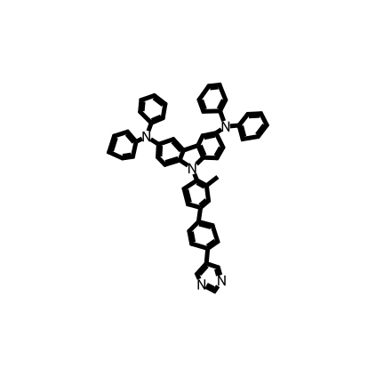 Cc1cc(-c2ccc(-c3cncnc3)cc2)ccc1-n1c2ccc(N(c3ccccc3)c3ccccc3)cc2c2cc(N(c3ccccc3)c3ccccc3)ccc21